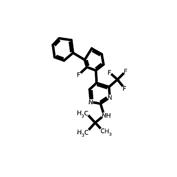 CC(C)(C)Nc1ncc(-c2cccc(-c3ccccc3)c2F)c(C(F)(F)F)n1